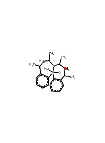 CC(C)c1ccccc1P(O)(O)(c1ccccc1C(C)C)N(C(C)C)C(C)C